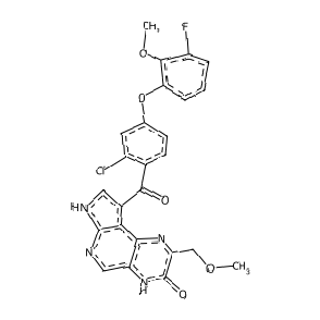 COCc1nc2c(cnc3[nH]cc(C(=O)c4ccc(Oc5cccc(F)c5OC)cc4Cl)c32)[nH]c1=O